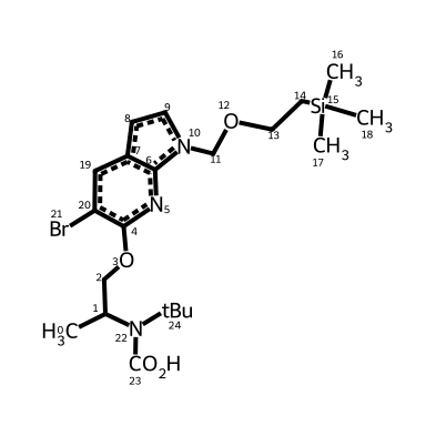 CC(COc1nc2c(ccn2COCC[Si](C)(C)C)cc1Br)N(C(=O)O)C(C)(C)C